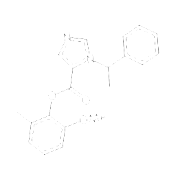 COc1cccc(C)c1OC(=O)c1cncn1C(C)c1ccccc1